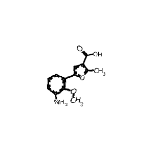 COc1c(N)cccc1-c1cc(C(=O)O)c(C)o1